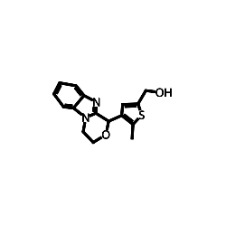 Cc1sc(CO)cc1C1OCCn2c1nc1ccccc12